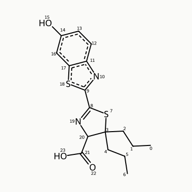 CCCC1(CCC)SC(c2nc3ccc(O)cc3s2)=NC1C(=O)O